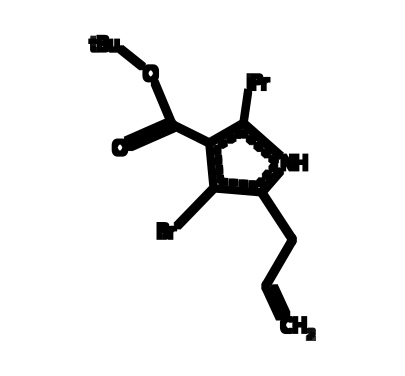 C=CCc1[nH]c(C(C)C)c(C(=O)OC(C)(C)C)c1Br